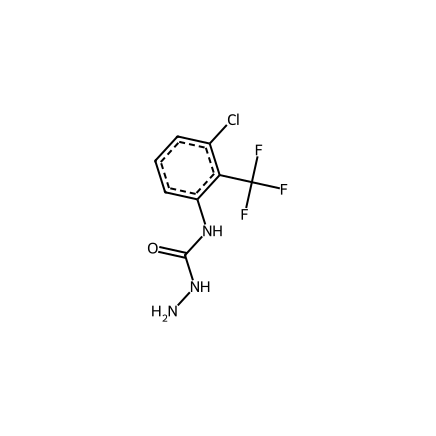 NNC(=O)Nc1cccc(Cl)c1C(F)(F)F